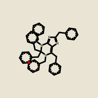 c1ccc(CC2=NC3=C(Cc4ccccc4)N(Cc4ccccc4)C(Cc4ccccc4)(Cc4ccccc4)N(Cc4ccccc4)C3=N2)cc1